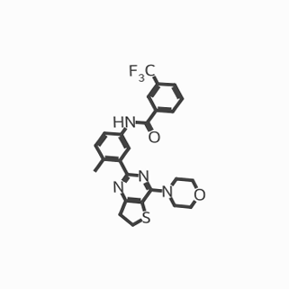 Cc1ccc(NC(=O)c2cccc(C(F)(F)F)c2)cc1-c1nc2c(c(N3CCOCC3)n1)SCC2